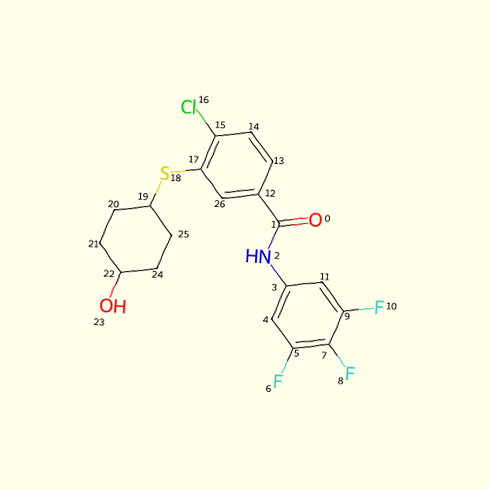 O=C(Nc1cc(F)c(F)c(F)c1)c1ccc(Cl)c(SC2CCC(O)CC2)c1